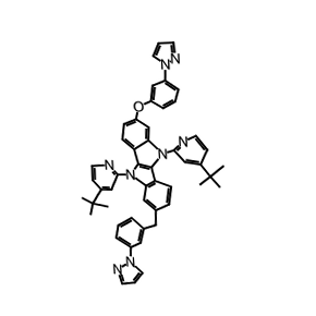 CC(C)(C)c1ccnc(-n2c3cc(Cc4cccc(-n5cccn5)c4)ccc3c3c2c2ccc(Oc4cccc(-n5cccn5)c4)cc2n3-c2cc(C(C)(C)C)ccn2)c1